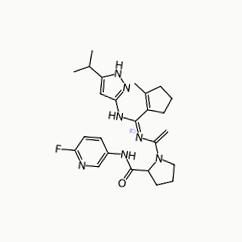 C=C(/N=C(/Nc1cc(C(C)C)[nH]n1)C1=C(C)CCC1)N1CCCC1C(=O)Nc1ccc(F)nc1